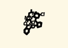 CC(Cc1nnc(CN2C(=O)c3ccccc3C2=O)n1-c1ccc(Cl)cc1C(=O)c1ccccc1Cl)N(C)C